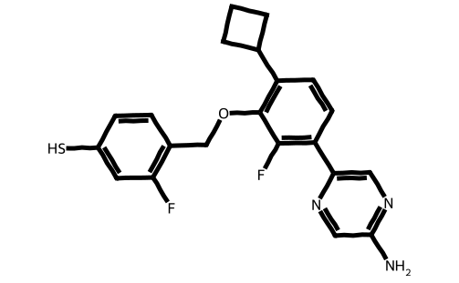 Nc1cnc(-c2ccc(C3CCC3)c(OCc3ccc(S)cc3F)c2F)cn1